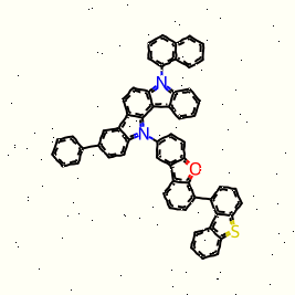 c1ccc(-c2ccc3c(c2)c2ccc4c(c5ccccc5n4-c4cccc5ccccc45)c2n3-c2ccc3oc4c(-c5cccc6sc7ccccc7c56)cccc4c3c2)cc1